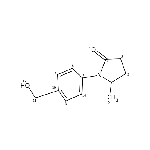 CC1CCC(=O)N1c1ccc(CO)cc1